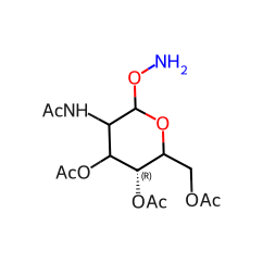 CC(=O)NC1C(ON)OC(COC(C)=O)[C@H](OC(C)=O)C1OC(C)=O